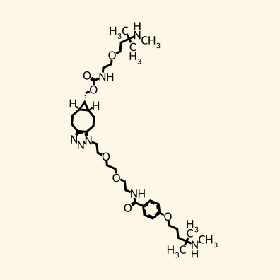 CNC(C)(C)CCCOc1ccc(C(=O)NCCOCCOCCn2nnc3c2CC[C@@H]2[C@H](CC3)[C@@H]2COC(=O)NCCOCCC(C)(C)NC)cc1